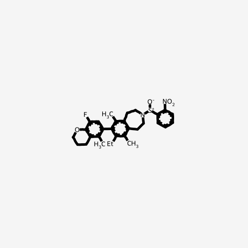 CCc1c(C)c2c(c(C)c1-c1cc(F)c3c(c1C)CCCO3)CCN([S+]([O-])c1ccccc1[N+](=O)[O-])CC2